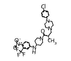 CC(CN1CCN(c2ccc(Cl)cc2)CC1)C(=O)N1CCC(Nc2ccc([N+](=O)[O-])c(C(F)(F)F)c2)CC1